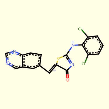 O=C1N=C(Nc2c(Cl)cccc2Cl)S/C1=C\c1ccc2ncncc2c1